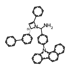 NC(c1ccc(-n2c3ccccc3c3ccc4ccccc4c32)cc1)N1C(c2ccccc2)=C[C@H]1c1cccc(-c2ccccc2)c1